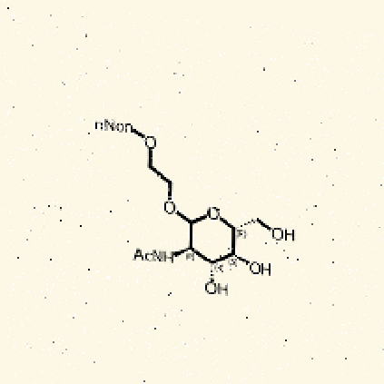 CCCCCCCCCOCCOC1O[C@H](CO)[C@@H](O)[C@H](O)[C@H]1NC(C)=O